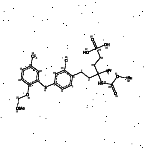 CCCC(CCc1ccc(Sc2cc(C(F)(F)F)ccc2OCOC)cc1Cl)(CCP(=O)(O)O)NC(=O)OC(C)(C)C